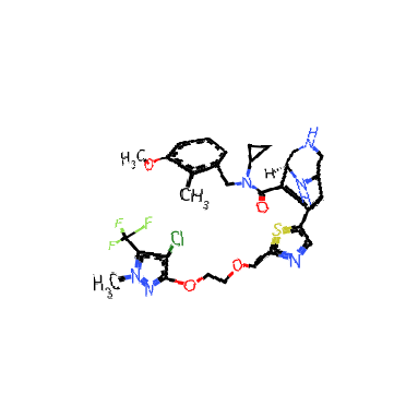 COc1cccc(CN(C(=O)C2=C(c3cnc(COCCOc4nn(C)c(C(F)(F)F)c4Cl)s3)CC3CNC[C@H]2N3)C2CC2)c1C